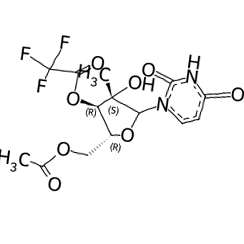 CC(=O)OC[C@H]1OC(n2ccc(=O)[nH]c2=O)[C@@](C)(O)[C@@H]1OC(=O)C(F)(F)F